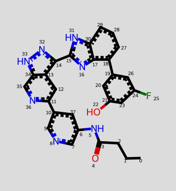 CCCC(=O)Nc1cncc(-c2cc3c(-c4nc5c(-c6cc(O)cc(F)c6)cccc5[nH]4)n[nH]c3cn2)c1